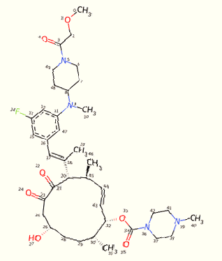 COCC(=O)N1CCC(N(C)c2cc(F)cc(/C=C(\C)[C@H]3C(=O)C(=O)C[C@@H](O)CC[C@@H](C)[C@@H](OC(=O)N4CCN(C)CC4)/C=C/[C@@H]3C)c2)CC1